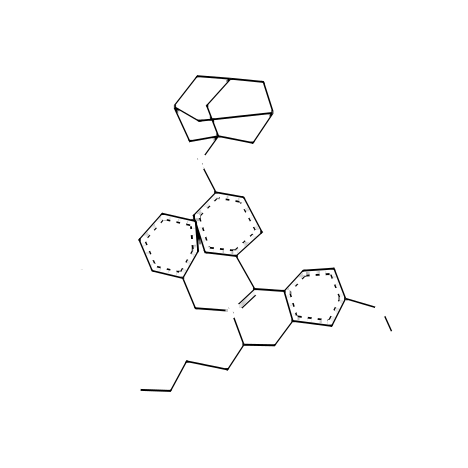 CCCCC1Cc2cc(OC)ccc2C(c2ccc(NC34CC5CC(CC(C5)C3)C4)cc2)=[N+]1Cc1ccccc1.[Br-]